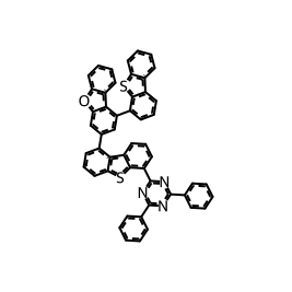 c1ccc(-c2nc(-c3ccccc3)nc(-c3cccc4c3sc3cccc(-c5cc(-c6cccc7c6sc6ccccc67)c6c(c5)oc5ccccc56)c34)n2)cc1